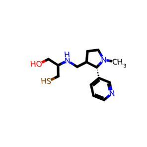 CN1CCC(CNC(CO)CS)[C@H]1c1cccnc1